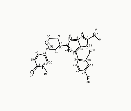 CN(C)c1nc2nc([C@@H]3CCO[C@@H](c4ccc(=O)n(C)c4)C3)nc(-c3ccc(F)cc3F)c2s1